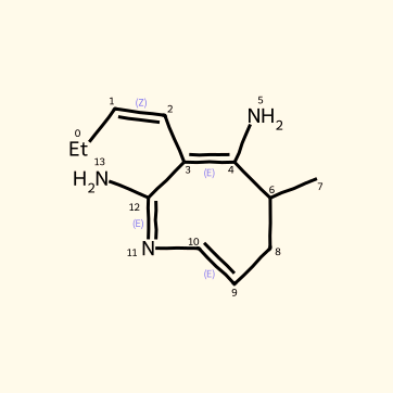 CC\C=C/C1=C(\N)C(C)C/C=C/N=C\1N